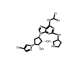 CCc1cnn([C@H]2C[C@@H](n3cnc4c(NC(CC)CC)nc(NC5CCNC5)nc43)[C@H](O)[C@@H]2O)c1